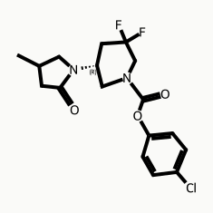 CC1CC(=O)N([C@H]2CN(C(=O)Oc3ccc(Cl)cc3)CC(F)(F)C2)C1